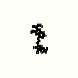 COc1cc2c(OCC[C@@H]3C[C@](F)(CC(F)(F)F)C(=O)N3)cccc2cc1C(N)=O